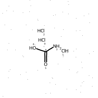 Cl.Cl.Cl.NC(=O)O